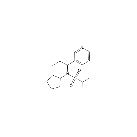 CCC(c1cccnc1)N(C1CCCC1)S(=O)(=O)C(C)C